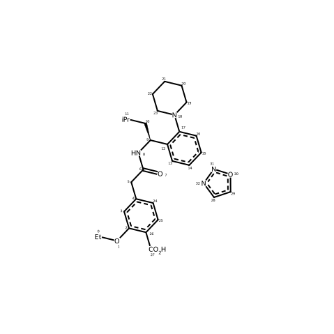 CCOc1cc(CC(=O)N[C@@H](CC(C)C)c2ccccc2N2CCCCC2)ccc1C(=O)O.c1conn1